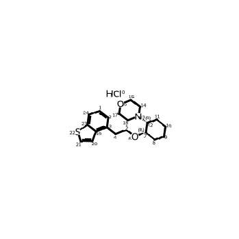 Cl.c1cc(CCO[C@@H]2CCCC[C@H]2N2CCOCC2)c2ccsc2c1